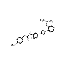 COc1ccc(CC(=O)Nc2cc([C@H]3C[C@@H](c4ccccc4CN(C)C)C3)n[nH]2)cc1